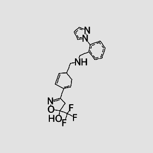 OC1(C(F)(F)F)CC(C2=CCC(CNCc3ccccc3-n3cccn3)C=C2)=NO1